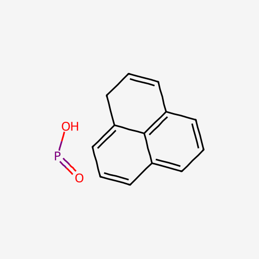 C1=Cc2cccc3cccc(c23)C1.O=PO